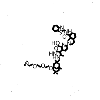 C/C(NCC1(C)CC2(C)CC(C)(C)CC(OCCOCCOCCN(C)C)(C1)C2)=C(/C=N)c1ccc(N2CCc3cccc(C(=O)Nc4nc5ccccc5s4)c3C2)nc1C(=O)O